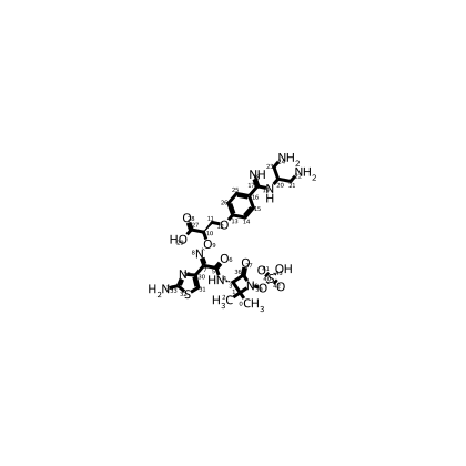 CC1(C)[C@H](NC(=O)C(=NO[C@H](COc2ccc(C(=N)NC(CN)CN)cc2)C(=O)O)c2csc(N)n2)C(=O)N1OS(=O)(=O)O